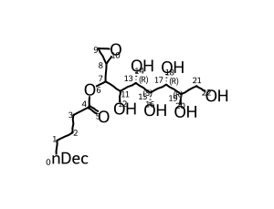 CCCCCCCCCCCCCC(=O)OC(C1CO1)C(O)[C@H](O)[C@@H](O)[C@H](O)[C@H](O)CO